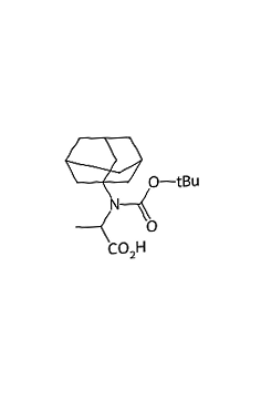 CC(C(=O)O)N(C(=O)OC(C)(C)C)C12CC3CC(CC(C3)C1)C2